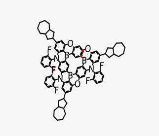 Fc1cccc(F)c1N1c2cc3c(cc2B2c4ccccc4Oc4cc(C5CC6CCCCCC6C5)cc1c42)B1c2cc4c(cc2N(c2c(F)cccc2F)c2cc(C5CC6CCCCCC6C5)cc(c21)O3)N(c1c(F)cccc1F)c1cc(C2CC3CCCCCC3C2)cc2c1B4c1ccccc1O2